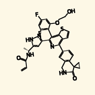 C=CC(=O)N[C@H](C)c1cc(-c2nc(-c3ccc4c(c3)CNC(=O)C43CC3)c3ccsc3c2-c2c(F)cc(F)cc2OCCO)n[nH]1